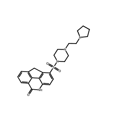 O=c1[nH]c2ccc(S(=O)(=O)N3CCN(CCN4CCCC4)CC3)c3c2c2c(cccc12)C3